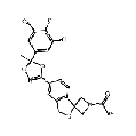 CC(C)C(=O)N1CC2(C1)OCc1cc(C3=NOC(C)(c4cc(Cl)c(Cl)c(Cl)c4)O3)ccc12